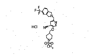 CS(=O)(=O)N1CCC(COc2cnc(CN3Cc4ccc(C(F)(F)F)cc4C3)cc2C#N)CC1.Cl